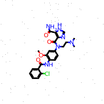 COc1cc(N(CCN(C)C)C(=O)c2nc[nH]c2C(N)=O)ccc1NC(=O)c1ccccc1Cl